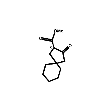 COC(=O)[C@@H]1CC2(CCCCC2)CC1=O